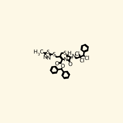 Cc1nnc(SCC2=C(C(=O)OC(c3ccccc3)c3ccccc3)N3C(=O)[C@@H](N=CC(Cl)(Cl)C(Cl)c4ccccc4)[C@@H]3SC2)s1